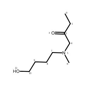 CCC(=O)CN(C)CCCCO